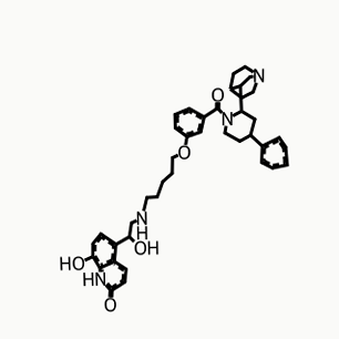 O=C(c1cccc(OCCCCCNCC(O)c2ccc(O)c3[nH]c(=O)ccc23)c1)N1CCC(c2ccccc2)CC1C1CN2CCC1CC2